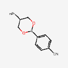 CCCC1COB(c2ccc(C#N)cc2)OC1